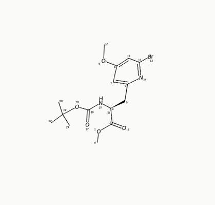 COC(=O)[C@H](Cc1cc(OC)cc(Br)n1)NC(=O)OC(C)(C)C